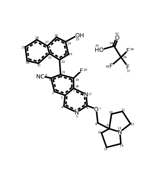 N#Cc1cc2cnc(OCC34CCCN3CCC4)nc2c(F)c1-c1cc(O)cc2ccccc12.O=C(O)C(F)(F)F